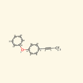 FC(F)(F)C#Cc1ccc(Oc2ccccc2)cc1